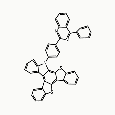 c1ccc(-c2nc(-c3ccc(-n4c5ccccc5c5c6c7ccccc7sc6c6c7ccccc7sc6c54)cc3)nc3ccccc23)cc1